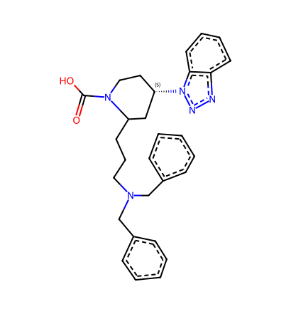 O=C(O)N1CC[C@H](n2nnc3ccccc32)CC1CCCN(Cc1ccccc1)Cc1ccccc1